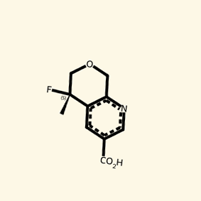 C[C@@]1(F)COCc2ncc(C(=O)O)cc21